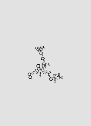 Cc1nn(C)c(COc2ccc(N3CCN(S(=O)(=O)N(C)C)CC3)cc2)c1-c1cccc2c(CCCOc3cccc4ccccc34)c(C(=O)O)n(CCN3CCN(C(=O)COc4cccc5c4C(=O)N(C4CCC(=O)NC4=O)C5=O)CC3)c12